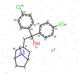 C[N+]1(C)C2CCC1CC(CC(O)(c1ccc(Cl)cc1)c1ccc(Cl)cc1)C2.[I-]